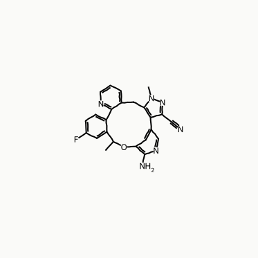 CC1Oc2cc(cnc2N)-c2c(C#N)nn(C)c2Cc2cccnc2-c2ccc(F)cc21